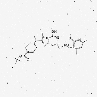 COc1nc(C)cc(C)c1CNCCCc1sc(C(C)C2CCN(C(=O)OC(C)(C)C)CC2)c(C)c1C(=O)O